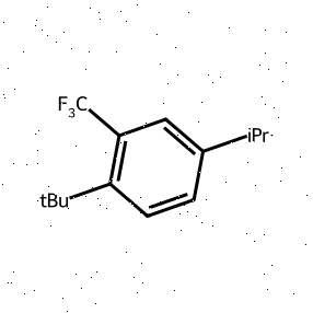 C[C](C)c1ccc(C(C)(C)C)c(C(F)(F)F)c1